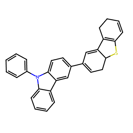 C1=CC2=C(CC1)C1=CC(c3ccc4c(c3)c3ccccc3n4-c3ccccc3)=CCC1S2